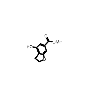 COC(=O)c1cc(O)c2c(c1)OCC2